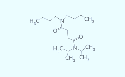 CCCCN(CCCC)C(=O)CCC(=O)N(C(C)C)C(C)C